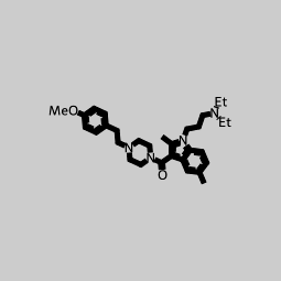 CCN(CC)CCCn1c(C)c(C(=O)N2CCN(CCc3ccc(OC)cc3)CC2)c2cc(C)ccc21